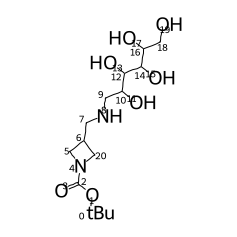 CC(C)(C)OC(=O)N1CC(CNCC(O)C(O)C(O)C(O)CO)C1